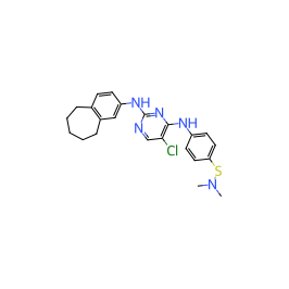 CN(C)Sc1ccc(Nc2nc(Nc3ccc4c(c3)CCCCC4)ncc2Cl)cc1